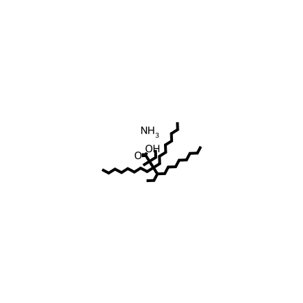 CCCCCCCCC(CC)C(CCCCCCCC)(CCCCCCCC)C(C)(CC)C(=O)O.N